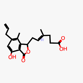 C=CCc1cc(O)c2c(c1C)C(C/C=C(\C)CCC(=O)O)OC2=O